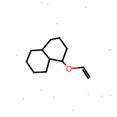 C=COC1CCCC2CCCCC21